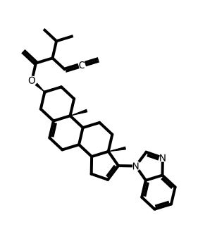 C=C=CC(C(=C)O[C@H]1CC[C@@]2(C)C(=CCC3C2CC[C@]2(C)C(n4cnc5ccccc54)=CCC32)C1)C(C)C